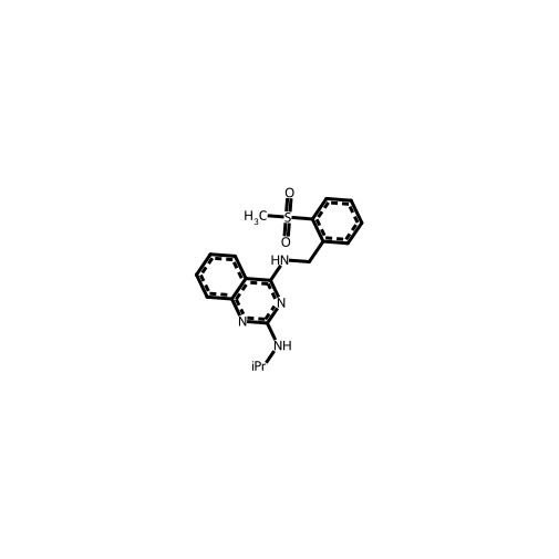 CC(C)Nc1nc(NCc2ccccc2S(C)(=O)=O)c2ccccc2n1